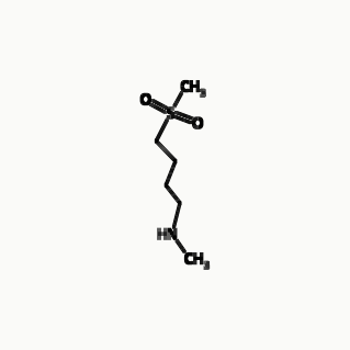 CNCCCCS(C)(=O)=O